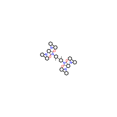 Cc1cc(N2C(=O)c3c(-n4c5ccccc5c5ccccc54)ccc(-n4c5ccccc5c5ccccc54)c3C2=O)ccc1-c1ccc(N2C(=O)c3c(-n4c5ccccc5c5ccccc54)ccc(-n4c5ccccc5c5ccccc54)c3C2=O)cc1C